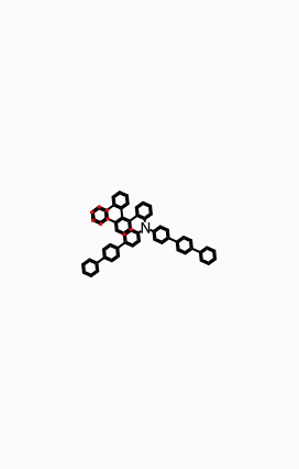 c1ccc(-c2ccc(-c3ccc(N(c4ccc(-c5ccc(-c6ccccc6)cc5)cc4)c4ccccc4-c4cccc(-c5ccccc5)c4-c4ccccc4-c4ccccc4)cc3)cc2)cc1